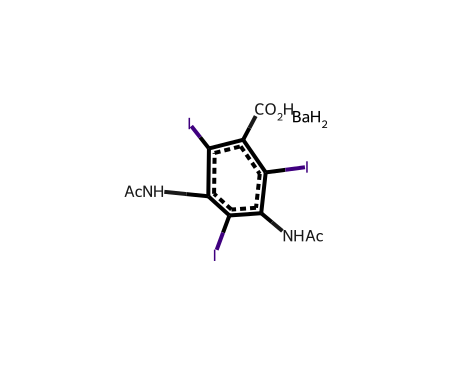 CC(=O)Nc1c(I)c(NC(C)=O)c(I)c(C(=O)O)c1I.[BaH2]